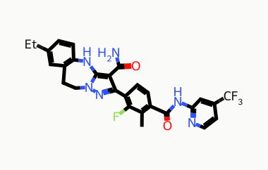 CCc1ccc2c(c1)CCn1nc(-c3ccc(C(=O)Nc4cc(C(F)(F)F)ccn4)c(C)c3F)c(C(N)=O)c1N2